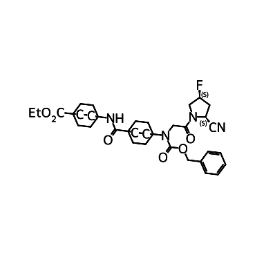 CCOC(=O)C12CCC(NC(=O)C34CCC(N(CC(=O)N5C[C@@H](F)C[C@H]5C#N)C(=O)OCc5ccccc5)(CC3)CC4)(CC1)CC2